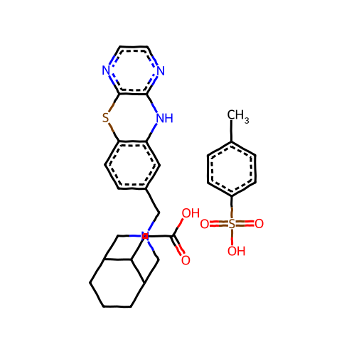 Cc1ccc(S(=O)(=O)O)cc1.O=C(O)CC1C2CCCC1CN(Cc1ccc3c(c1)Nc1nccnc1S3)C2